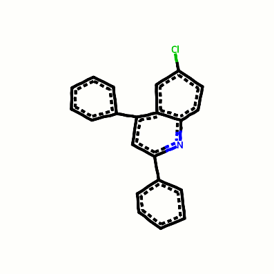 Clc1ccc2nc(-c3ccccc3)cc(-c3ccccc3)c2c1